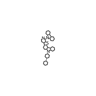 c1ccc(-c2ccc(-n3c4ccccc4c4c5sc6c(-n7c8ccccc8c8ccccc87)nccc6c5ccc43)cc2)cc1